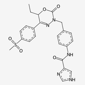 CCC1OC(=O)N(Cc2ccc(NC(=O)c3c[nH]cn3)cc2)N=C1c1ccc(S(C)(=O)=O)cc1